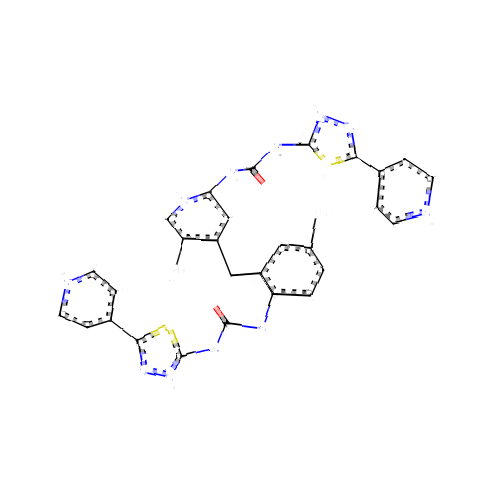 CC(C)(C)c1ccc(NC(=O)Nc2nnc(-c3ccncc3)s2)c(Cc2cc(NC(=O)Nc3nnc(-c4ccncc4)s3)ncc2C(C)(C)C)c1